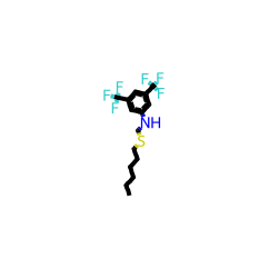 CCCCCCSCNc1cc(C(F)(F)F)cc(C(F)(F)F)c1